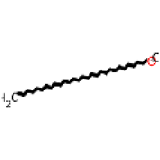 [CH2]CCCCCCCCCCCCCCCCCCCCCCCCCCCCCOC